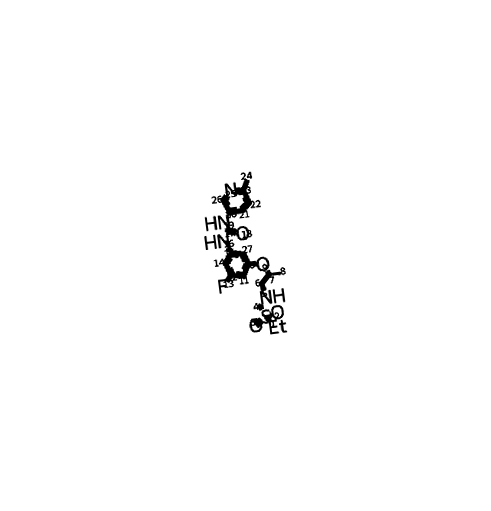 CCS(=O)(=O)CNC[C@H](C)Oc1cc(F)cc(NC(=O)Nc2ccc(C)nc2)c1